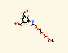 COCOCCOCCNc1cc(CO)cc(CO)c1